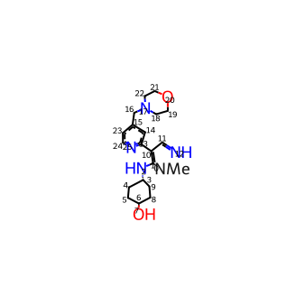 CN/C(N[C@H]1CC[C@H](O)CC1)=C(\C=N)c1cc(CN2CCOCC2)ccn1